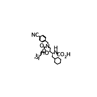 C[Si](C)(C)CCOC(=O)N(Cc1ccc(C#N)cc1)C[C@@H](O)[C@H](CC1CCCCC1)NC(=O)O